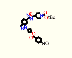 CC(C)(C)OC(=O)N1CCC(c2nc(-c3ccc4cnn([C@H]5C[C@H](OC(=O)c6ccc(N=O)cc6)C5)c4c3)no2)CC1